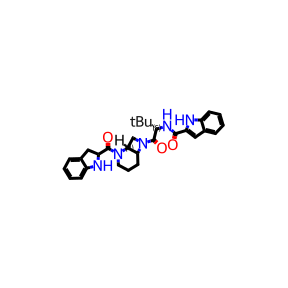 CC(C)(C)[C@H](NC(=O)c1cc2ccccc2[nH]1)C(=O)N1C[C@@H]2C1CCCN2C(=O)C1Cc2ccccc2N1